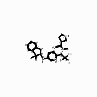 CN(C(=O)C1CCNC1)[C@@H](c1ccc(NC2Cc3ccccc3C2(C)C)cn1)C(F)(F)F